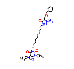 Cn1cnc2c1c(=O)n(CCCCCCCCCCCNC(=O)C(N)COCc1ccccc1)c(=O)n2C